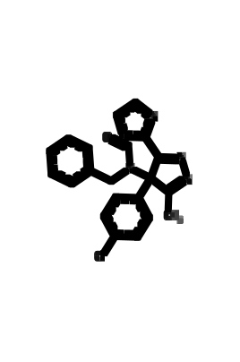 CC1=NN=C(c2nccs2)C1(c1ccc(Cl)cc1)N(C=O)Cc1ccccc1